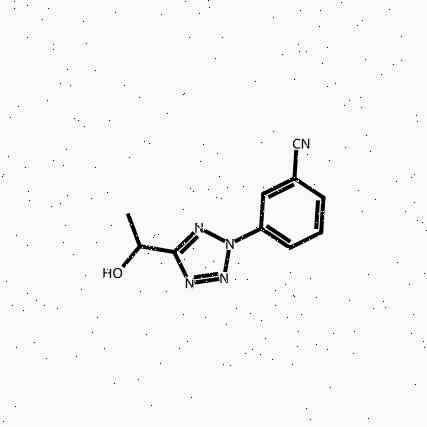 CC(O)c1nnn(-c2cccc(C#N)c2)n1